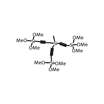 CO[Si](C#C[Si](C)(C#C[Si](OC)(OC)OC)C#C[Si](OC)(OC)OC)(OC)OC